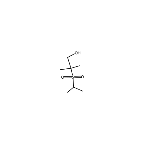 CC(C)S(=O)(=O)C(C)(C)CO